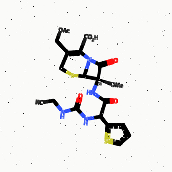 CO[C@]1(NC(=O)C(NC(=O)NCC#N)c2cccs2)C(=O)N2C(C(=O)O)=C(COC(C)=O)CSC21